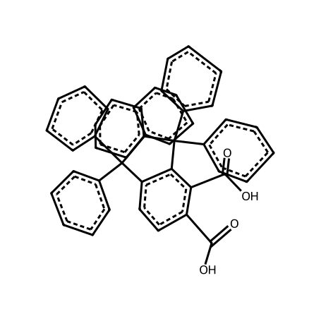 O=C(O)c1ccc(C(c2ccccc2)(c2ccccc2)c2ccccc2)c(C(c2ccccc2)(c2ccccc2)c2ccccc2)c1C(=O)O